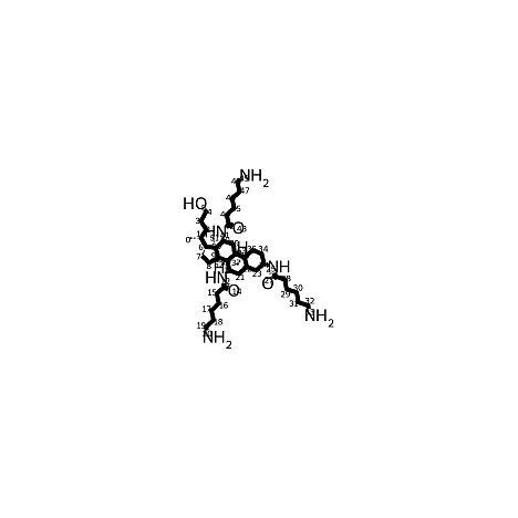 C[C@H](CCCO)[C@H]1CC[C@H]2C3[C@H](NC(=O)CCCCCN)CC4C[C@H](NC(=O)CCCCCN)CC[C@]4(C)[C@H]3C[C@H](NC(=O)CCCCCN)[C@]12C